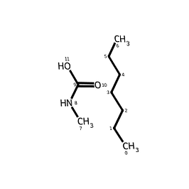 CCCCCCC.CNC(=O)O